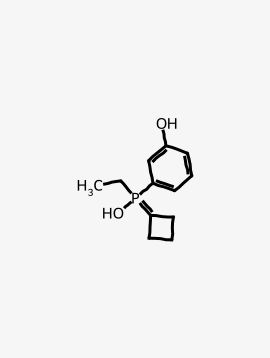 CCP(O)(=C1CCC1)c1cccc(O)c1